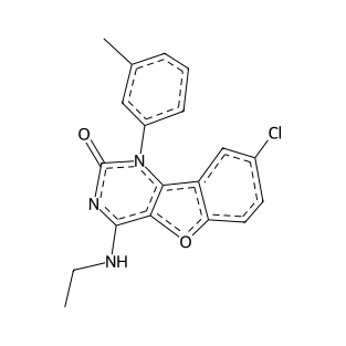 CCNc1nc(=O)n(-c2cccc(C)c2)c2c1oc1ccc(Cl)cc12